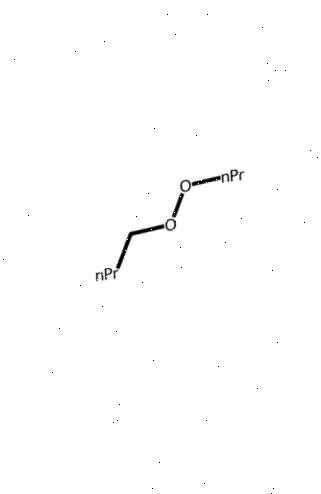 CCCCOOCCC